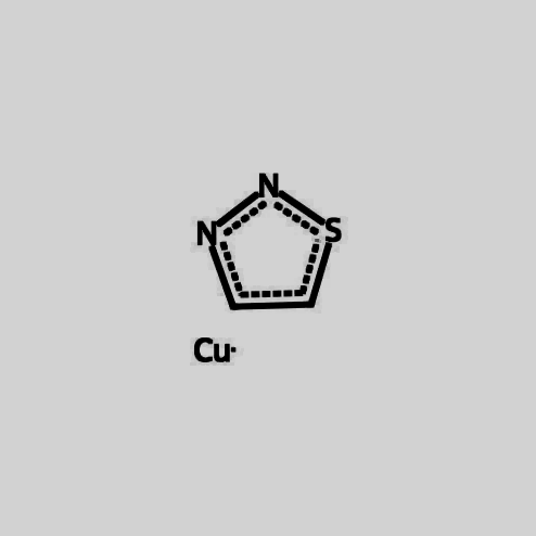 [Cu].c1csnn1